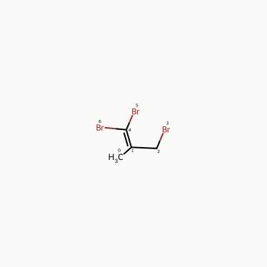 CC(CBr)=C(Br)Br